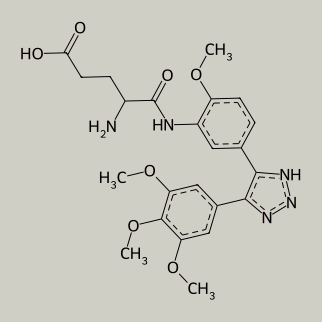 COc1ccc(-c2[nH]nnc2-c2cc(OC)c(OC)c(OC)c2)cc1NC(=O)C(N)CCC(=O)O